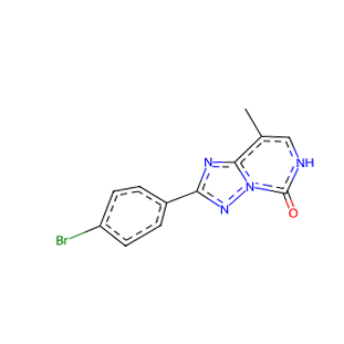 Cc1c[nH]c(=O)n2nc(-c3ccc(Br)cc3)nc12